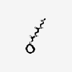 CNCCNC(=O)CCNC(=O)COC1/C=C\CCCCC1